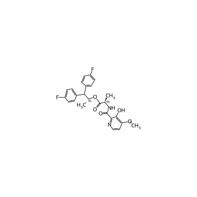 COc1ccnc(C(=O)N[C@H](C)C(=O)O[C@H](C)C(c2ccc(F)cc2)c2ccc(F)cc2)c1O